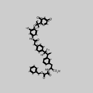 CC(c1cccc(CC(NC(=O)C(=O)OCc2ccccc2)C(=O)O)c1)C(F)(F)c1ccc(CC(=O)Nc2ccc(OC(C)(C)c3ncc(Cl)cc3Cl)c(F)c2)cc1